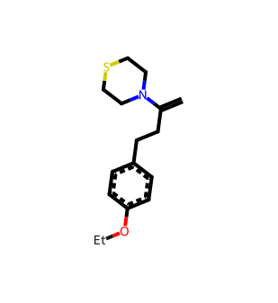 C=C(CCc1ccc(OCC)cc1)N1CCSCC1